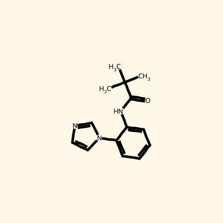 CC(C)(C)C(=O)Nc1ccccc1-n1ccnc1